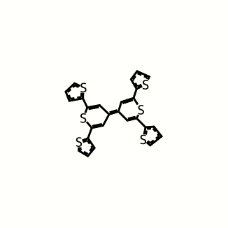 C1=C(c2cccs2)SC(c2cccs2)=CC1=C1C=C(c2cccs2)SC(c2cccs2)=C1